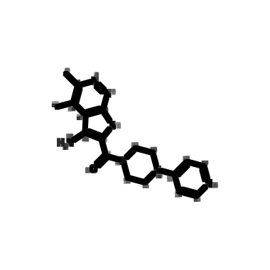 Cc1nnc2sc(C(=O)N3CCN(c4ccncc4)CC3)c(N)c2c1C